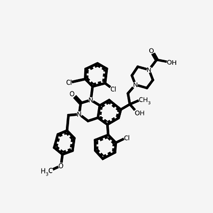 COc1ccc(CN2Cc3c(-c4ccccc4Cl)cc(C(C)(O)CN4CCN(C(=O)O)CC4)cc3N(c3c(Cl)cccc3Cl)C2=O)cc1